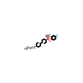 CCCCC[C@H]1CC[C@H]([C@H]2CC[C@H](C(=O)Oc3ccc(F)cc3C#N)CC2)CC1